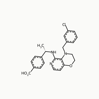 C[C@H](Nc1nccc2c1N(Cc1cccc(Cl)c1)CCO2)c1ccc(C(=O)O)cc1